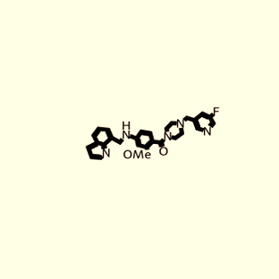 COc1cc(NCc2cccc3cccnc23)ccc1C(=O)N1CCN(Cc2cncc(F)c2)CC1